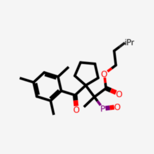 Cc1cc(C)c(C(=O)C2(C(C)(P=O)C(=O)OCCC(C)C)CCCC2)c(C)c1